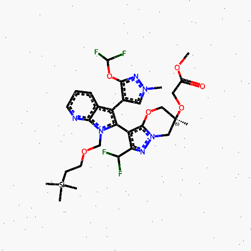 COC(=O)CO[C@]1(C)COc2c(-c3c(-c4cn(C)nc4OC(F)F)c4cccnc4n3COCC[Si](C)(C)C)c(C(F)F)nn2C1